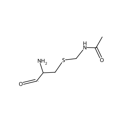 CC(=O)NCSCC(N)[C]=O